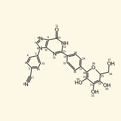 N#Cc1ccc(-n2cnc3c(=O)[nH]c(-c4ccc(C5=C(O)C(O)=C(O)C(CO)O5)cc4)nc32)cc1